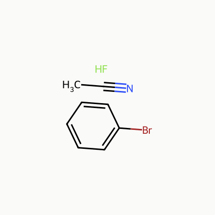 Brc1ccccc1.CC#N.F